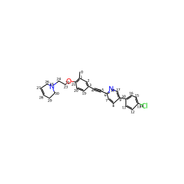 Cc1cc(C#Cc2ccc(-c3ccc(Cl)cc3)cn2)ccc1OCCN1CC=CCC1